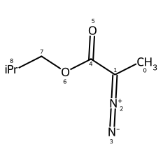 CC(=[N+]=[N-])C(=O)OCC(C)C